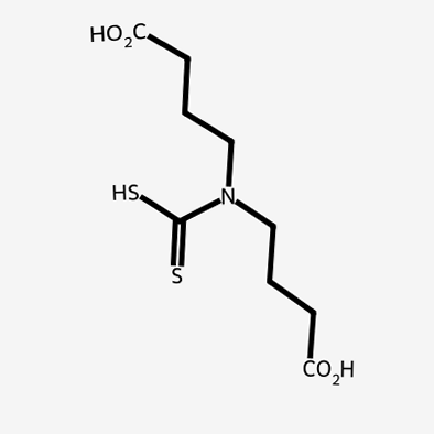 O=C(O)CCCN(CCCC(=O)O)C(=S)S